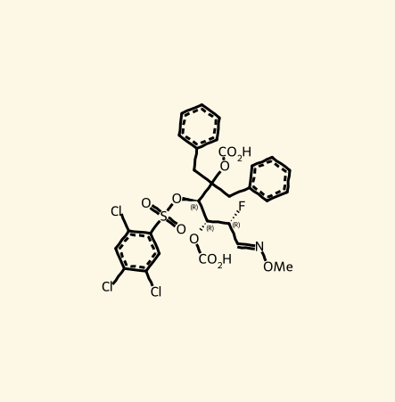 CON=C[C@@H](F)[C@H](OC(=O)O)[C@@H](OS(=O)(=O)c1cc(Cl)c(Cl)cc1Cl)C(Cc1ccccc1)(Cc1ccccc1)OC(=O)O